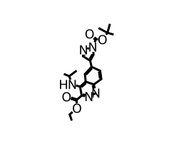 CCOC(=O)c1nnc2ccc(-c3cnn(C(=O)OC(C)(C)C)c3)cc2c1NC(C)C